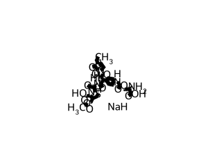 CCN1CCN(C(=O)N[C@H](C(=O)N[C@@H]2C(=O)N3C(C(=O)O)=C(COC(C)=O)CS[C@H]23)c2ccc(NC(=O)OC[C@@H](N)C(=O)O)cc2)C(=O)C1=O.[NaH]